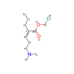 CCCC(=CCCN(C)C)C(=O)OCCl